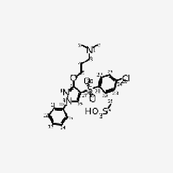 CN(C)CCCOc1nn(-c2ccccc2)cc1S(=O)(=O)c1ccc(Cl)cc1.CS(=O)(=O)O